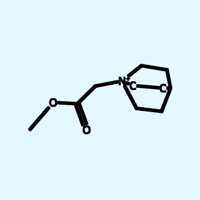 COC(=O)C[N+]12CCC(CC1)CC2